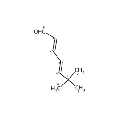 CC(C)(C)C=CC=CC=O